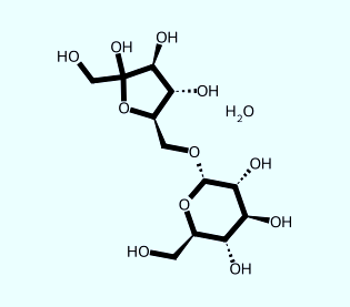 O.OC[C@H]1O[C@H](OC[C@H]2OC(O)(CO)[C@@H](O)[C@@H]2O)[C@H](O)[C@@H](O)[C@@H]1O